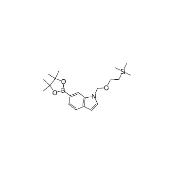 CC1(C)OB(c2ccc3ccn(COCC[Si](C)(C)C)c3c2)OC1(C)C